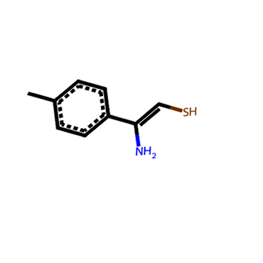 Cc1ccc(/C(N)=C/S)cc1